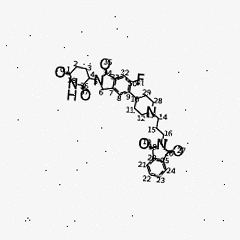 O=C1CCC(N2Cc3cc(C4CCN(CCCN5C(=O)c6ccccc6C5=O)CC4)c(F)cc3C2=O)C(=O)N1